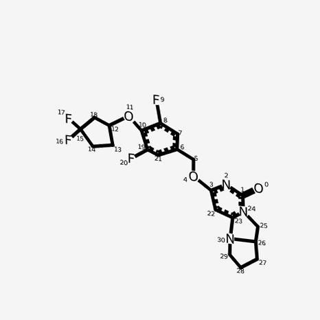 O=c1nc(OCc2cc(F)c(OC3CCC(F)(F)C3)c(F)c2)cc2n1CC1CCCN21